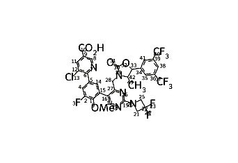 COc1c(F)cc(-c2ncc(C(=O)O)cc2Cl)cc1-c1cnc(N2CC(F)(F)C2)nc1CN1C(=O)OC(c2cc(C(F)(F)F)cc(C(F)(F)F)c2)C1C